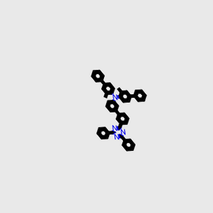 Cc1cc(-c2ccccc2)ccc1N(c1cccc(-c2cccc(-c3nc(-c4ccccc4)nc(-c4ccccc4)n3)c2)c1)c1ccc(-c2ccccc2)cc1C